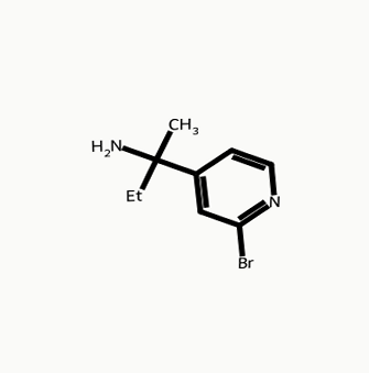 CCC(C)(N)c1ccnc(Br)c1